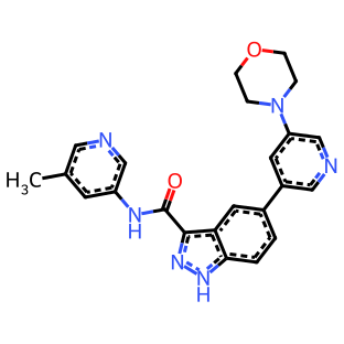 Cc1cncc(NC(=O)c2n[nH]c3ccc(-c4cncc(N5CCOCC5)c4)cc23)c1